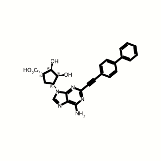 Nc1nc(C#Cc2ccc(-c3ccccc3)cc2)nc2c1ncn2[C@@H]1C[C@H](C(=O)O)[C@@H](O)[C@H]1O